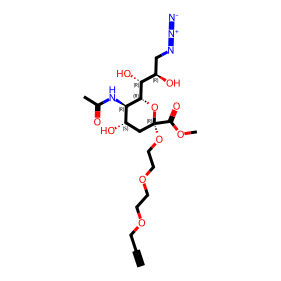 C#CCOCCOCCO[C@]1(C(=O)OC)C[C@H](O)[C@@H](NC(C)=O)[C@H]([C@H](O)[C@H](O)CN=[N+]=[N-])O1